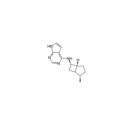 C[C@@H]1CC[C@@H]2C1C[C@H]2Nc1ncnc2[nH]ccc12